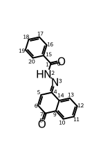 O=C(NN=C1C=CC(=O)c2ccccc21)c1ccccc1